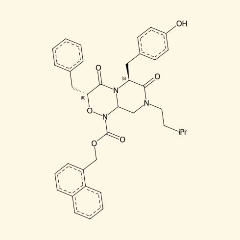 CC(C)CCN1CC2N(C(=O)OCc3cccc4ccccc34)O[C@H](Cc3ccccc3)C(=O)N2[C@@H](Cc2ccc(O)cc2)C1=O